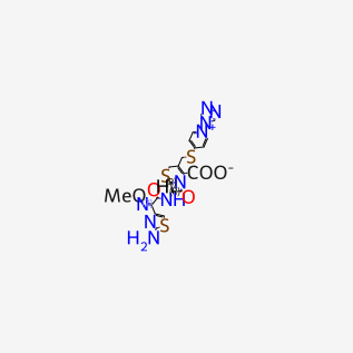 CO/N=C(\C(=O)N[C@@H]1C(=O)N2C(C(=O)[O-])=C(CSc3cc[n+](-n4cnnc4)cc3)CS[C@H]12)c1csc(N)n1